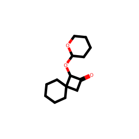 O=C1CC2(CCCCC2)C1OC1CCCCO1